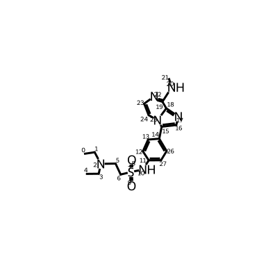 CCN(CC)CCS(=O)(=O)Nc1ccc(-c2cnc3c(NC)nccn23)cc1